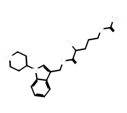 NC(=O)NCCCC(N)C(=O)NCc1cn(C2CCNCC2)c2ccccc12